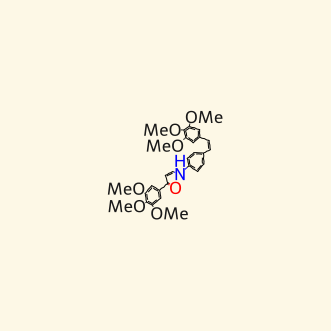 COc1cc(/C=C\c2ccc(N/C=C\C(=O)c3cc(OC)c(OC)c(OC)c3)cc2)cc(OC)c1OC